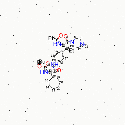 CCC(=O)N[C@@H](C(=O)N1CCN(C)CC1)[C@@H](CC)c1ccc(NC(=O)[C@@H](NC(=O)OC(C)(C)C)C2CCCCCC2)cc1